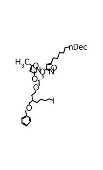 CCCCCCCCCCCCCCCc1cc(OC[C@H](COCC[C@@H](CCCCI)COCc2ccccc2)Oc2cc(C)on2)no1